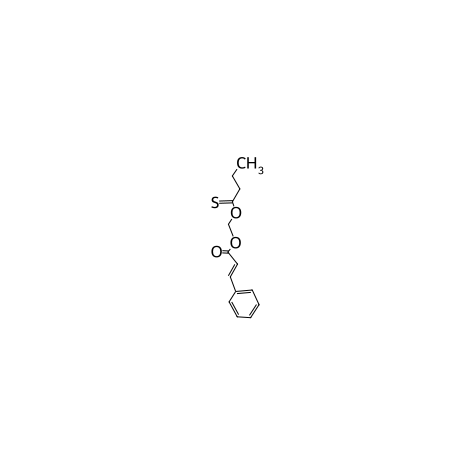 CCCC(=S)OCOC(=O)C=Cc1ccccc1